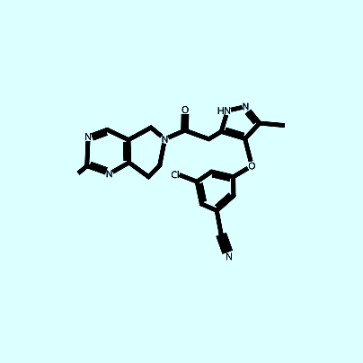 Cc1ncc2c(n1)CCN(C(=O)Cc1[nH]nc(C)c1Oc1cc(Cl)cc(C#N)c1)C2